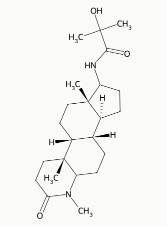 CN1C(=O)CC[C@@]2(C)C1CC[C@@H]1[C@H]2CC[C@]2(C)C(NC(=O)C(C)(C)O)CC[C@@H]12